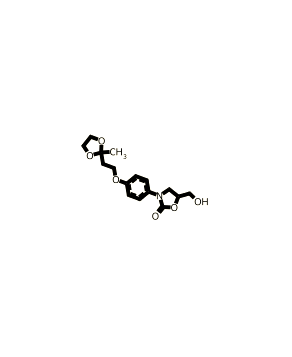 CC1(CCOc2ccc(N3CC(CO)OC3=O)cc2)OCCO1